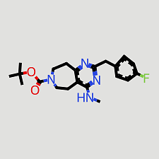 CNc1nc(Cc2ccc(F)cc2)nc2c1CCN(C(=O)OC(C)(C)C)CC2